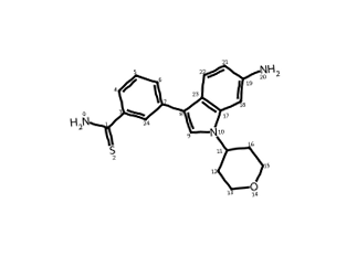 NC(=S)c1cccc(-c2cn(C3CCOCC3)c3cc(N)ccc23)c1